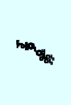 CC(C)C(=O)N[C@H]1CC[C@H](CCN2CCc3sc(OCC(F)F)nc3C2)CC1